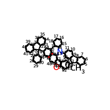 CC1(C)c2ccccc2-c2ccc(N(c3ccccc3-c3cccc(C4(c5ccccc5)c5ccccc5-c5ccccc54)c3)c3cccc4oc5ccccc5c34)cc21